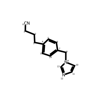 N#CCCCc1ccc(Cn2ccnc2)cc1